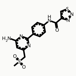 CS(=O)(=O)Cc1cc(N)nc(-c2ccc(NC(=O)c3csnn3)cc2)n1